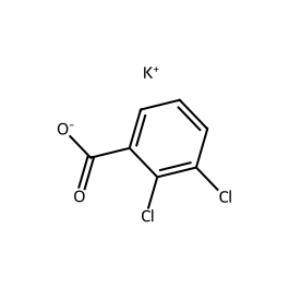 O=C([O-])c1cccc(Cl)c1Cl.[K+]